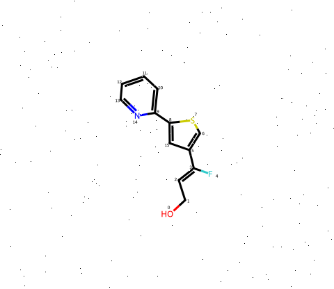 OCC=C(F)c1csc(-c2ccccn2)c1